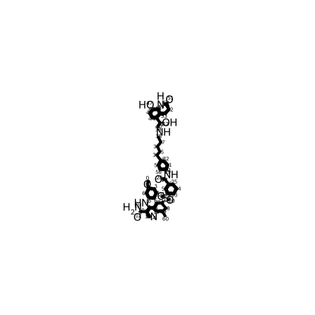 COc1cccc(Nc2c(C(N)=O)cnc3c2=CC(S(=O)(=O)c2cccc(C(=O)Nc4ccc(CCCCCNC[C@H](O)c5ccc(O)c6[nH]c(=O)ccc56)cc4)c2)CC=3C)c1